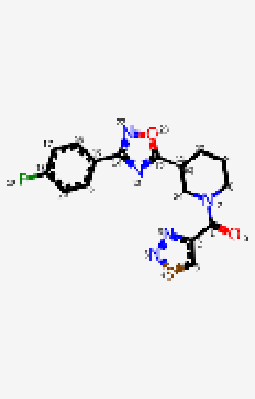 O=C(c1csnn1)N1CCC[C@H](c2nc(-c3ccc(F)cc3)no2)C1